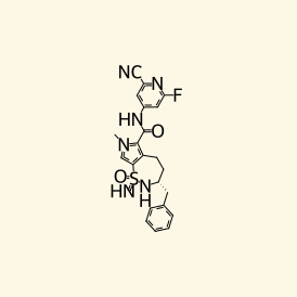 Cn1cc2c(c1C(=O)Nc1cc(F)nc(C#N)c1)CC[C@H](Cc1ccccc1)NS2(=N)=O